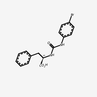 O=C(Nc1ccc(Br)cc1)N[C@H](Cc1ccccc1)C(=O)O